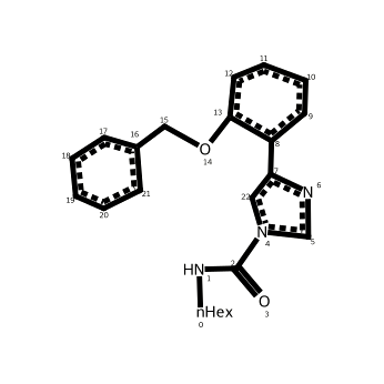 CCCCCCNC(=O)n1cnc(-c2ccccc2OCc2ccccc2)c1